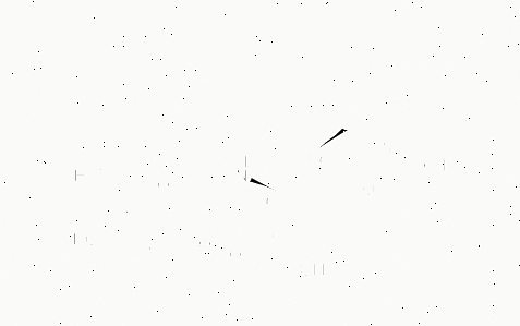 CC(C)(C)OC(=O)N[C@]1(C(=O)O)C[C@@]1(CS(C)(=O)=O)c1ccccc1